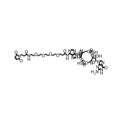 Nc1nc2c(ncn2[C@@H]2O[C@@H]3COP(=O)(S)O[C@H]4C(O)[C@@H](COP(=O)(S)O[C@@H]3C2O)O[C@H]4n2cnc3c(NC(=O)CCOCCOCCOCCOCCNC(=O)CCN4C(=O)C=CC4=O)ncnc32)c(=O)[nH]1